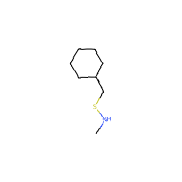 CNSCC1CCCCC1